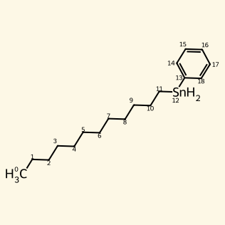 CCCCCCCCCCC[CH2][SnH2][c]1ccccc1